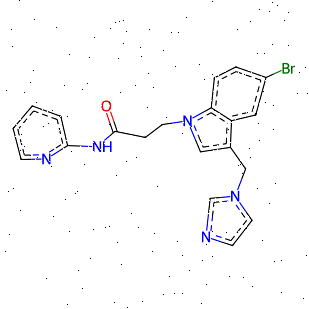 O=C(CCn1cc(Cn2ccnc2)c2cc(Br)ccc21)Nc1ccccn1